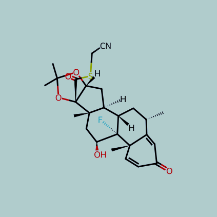 C[C@H]1C[C@H]2[C@@H]3C[C@H]4OC(C)(C)O[C@@]4(C(=O)SCC#N)[C@@]3(C)C[C@H](O)[C@]2(F)[C@@]2(C)C=CC(=O)C=C12